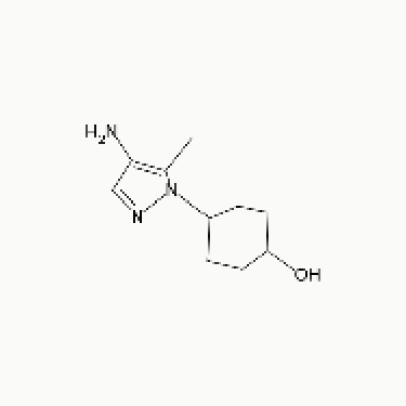 Cc1c(N)cnn1C1CCC(O)CC1